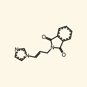 O=C1c2ccccc2C(=O)N1CC=Cn1ccnc1